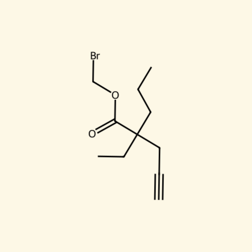 C#CCC(CC)(CCC)C(=O)OCBr